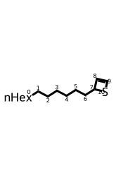 CCCCCCCCCCCCC1C=CS1